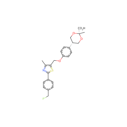 Cc1nc(-c2ccc(CF)cc2)sc1COc1ccc([C@H]2CO[C@@](C)(C(=O)O)OC2)cc1